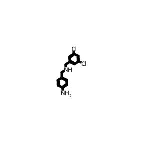 Nc1ccc(CNCc2cc(Cl)cc(Cl)c2)cc1